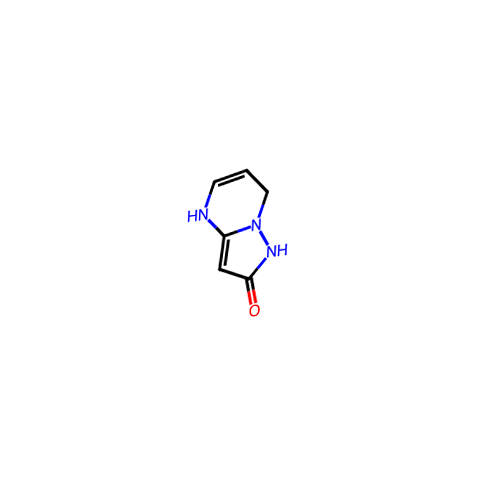 O=c1cc2n([nH]1)CC=CN2